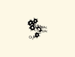 CC(=O)O[C@@H]1[C@@H](OC(C)=O)[C@H](Oc2ccc([N+](=O)[O-])cc2)O[C@H](COC(c2ccccc2)(c2ccccc2)c2ccccc2)[C@H]1OC(C)=O